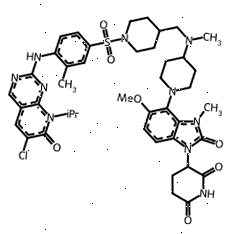 COc1ccc2c(c1N1CCC(N(C)CC3CCN(S(=O)(=O)c4ccc(Nc5ncc6cc(Cl)c(=O)n(C(C)C)c6n5)c(C)c4)CC3)CC1)n(C)c(=O)n2C1CCC(=O)NC1=O